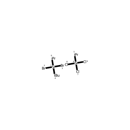 CC(C)[Si](Br)(Br)C(C)(C)C.CC(C)[Si](Cl)(Cl)Cl